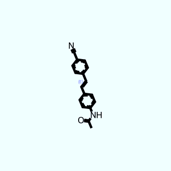 CC(=O)Nc1ccc(/C=C/c2ccc(C#N)cc2)cc1